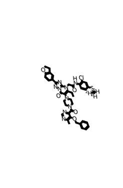 [2H]C([2H])([2H])Sc1ccc(NC(=O)Cn2c(CC)c(N3CCN(C(=O)c4ncnc(C)c4OCc4ccccc4)CC3)c(=O)n3nc(-c4ccc5c(c4)CCO5)nc23)c(Cl)c1